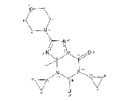 CC12N=C(N3CCOCC3)N=C1C(=O)N(C1CC1)C(=O)N2C1CC1